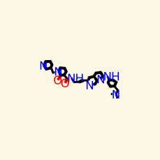 CN(C)Cc1ccc(Nc2ccc3cc(C#CCNC(=O)c4cccn(Cc5cccnc5)c4=O)ncc3n2)cc1